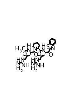 CC(=O)N[C@H](CCCNC(=N)N)C(=O)N1CCCC[C@H]1C(=O)N[C@@H](CCCNC(=N)N)C(=O)c1nc2ccccc2s1